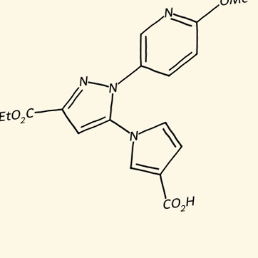 CCOC(=O)c1cc(-n2ccc(C(=O)O)c2)n(-c2ccc(OC)nc2)n1